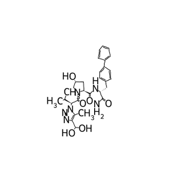 Cc1c(C(O)O)nnn1[C@H](C(=O)N1C[C@H](O)C[C@H]1C(=O)N[C@H](Cc1ccc(-c2ccccc2)cc1)C(N)=O)C(C)C